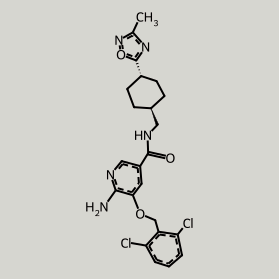 Cc1noc([C@H]2CC[C@H](CNC(=O)c3cnc(N)c(OCc4c(Cl)cccc4Cl)c3)CC2)n1